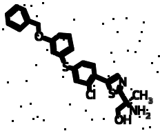 C[C@](N)(CO)c1ncc(-c2ccc(Sc3cccc(OCc4ccccc4)c3)cc2Cl)s1